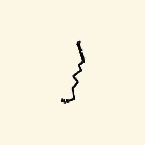 O=C=NCCCCCC[SiH3]